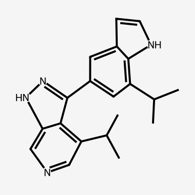 CC(C)c1cc(-c2n[nH]c3cncc(C(C)C)c23)cc2cc[nH]c12